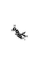 CCC[C@@H](CCO)Nc1nc(N)nc2cnn(Cc3ccc(C4CNCCN4)cc3OC)c12